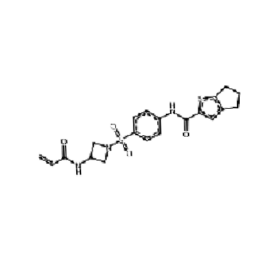 C=CC(=O)NC1CN(S(=O)(=O)c2ccc(NC(=O)c3cc4c(s3)CCC4)cc2)C1